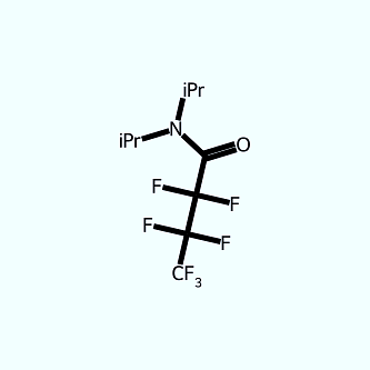 CC(C)N(C(=O)C(F)(F)C(F)(F)C(F)(F)F)C(C)C